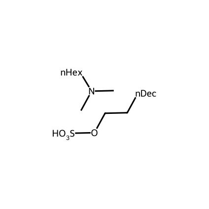 CCCCCCCCCCCCOS(=O)(=O)O.CCCCCCN(C)C